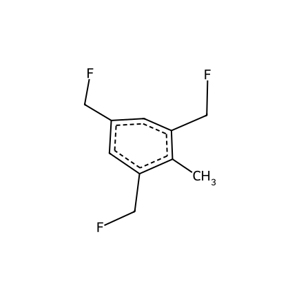 Cc1c(CF)cc(CF)cc1CF